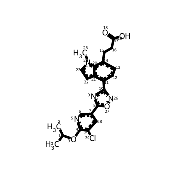 CC(C)Oc1ncc(-c2nc(-c3ccc(CCC(=O)O)c4c3ccn4C)no2)cc1Cl